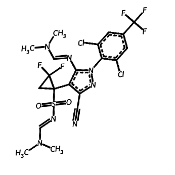 CN(C)/C=N/c1c(C2(S(=O)(=O)/N=C/N(C)C)CC2(F)F)c(C#N)nn1-c1c(Cl)cc(C(F)(F)F)cc1Cl